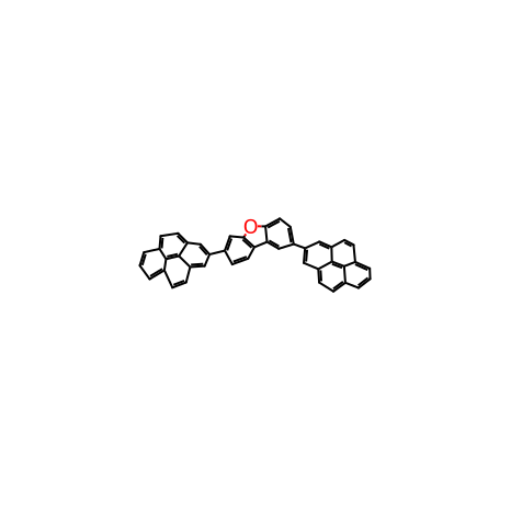 c1cc2ccc3cc(-c4ccc5c(c4)oc4ccc(-c6cc7ccc8cccc9ccc(c6)c7c89)cc45)cc4ccc(c1)c2c34